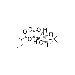 CCC(C)C(=O)O[C@@H]1C(=O)O[C@@H]2[C@H]3OC(C)(C)O[C@H]3O[C@@H]21